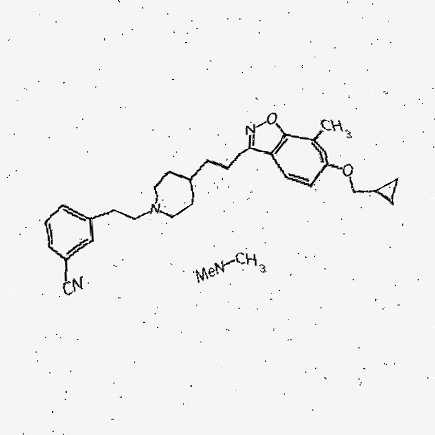 CNC.Cc1c(OCC2CC2)ccc2c(CCC3CCN(CCc4cccc(C#N)c4)CC3)noc12